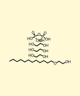 CCCCCCCCCCCCOCCO.O=P(O)(O)OP(=O)(O)O.OCCO.OCCO.OCCO